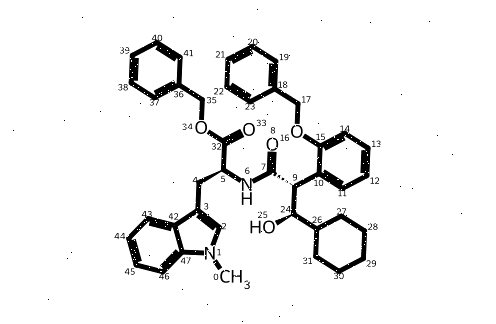 Cn1cc(C[C@H](NC(=O)[C@H](c2ccccc2OCc2ccccc2)[C@H](O)C2CCCCC2)C(=O)OCc2ccccc2)c2ccccc21